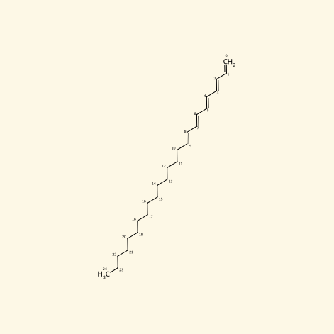 C=CC=CC=CC=CC=CCCCCCCCCCCCCCCC